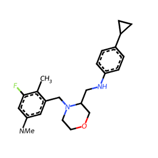 CNc1cc(F)c(C)c(CN2CCOCC2CNc2ccc(C3CC3)cc2)c1